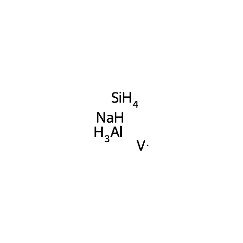 [AlH3].[NaH].[SiH4].[V]